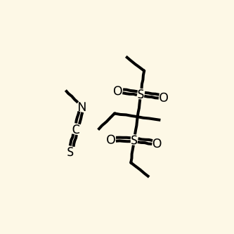 CCC(C)(S(=O)(=O)CC)S(=O)(=O)CC.CN=C=S